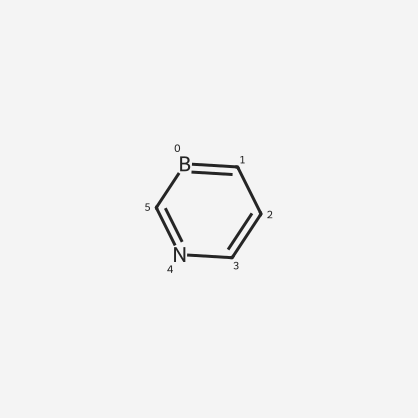 b1cccnc1